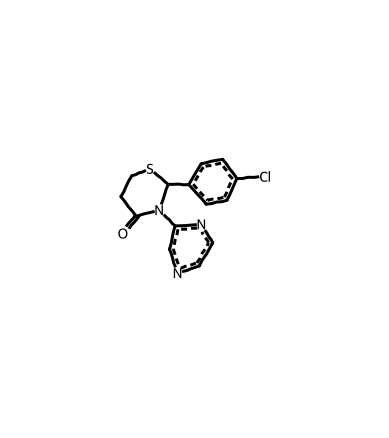 O=C1CCSC(c2ccc(Cl)cc2)N1c1cnccn1